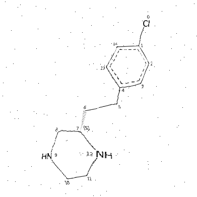 Clc1ccc(CC[C@H]2CNCCN2)cc1